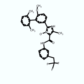 COc1ccc(-c2[nH]c(C)c(C(=O)Nc3cccc(CC(F)(F)F)c3)[n+]2[O-])cc1-c1c(C)cccc1C